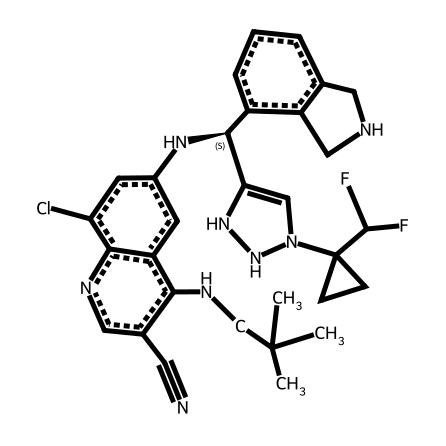 CC(C)(C)CNc1c(C#N)cnc2c(Cl)cc(N[C@H](C3=CN(C4(C(F)F)CC4)NN3)c3cccc4c3CNC4)cc12